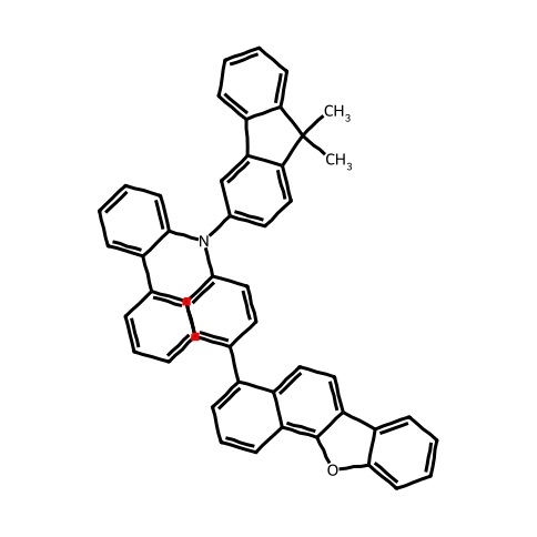 CC1(C)c2ccccc2-c2cc(N(c3ccc(-c4cccc5c4ccc4c6ccccc6oc54)cc3)c3ccccc3-c3ccccc3)ccc21